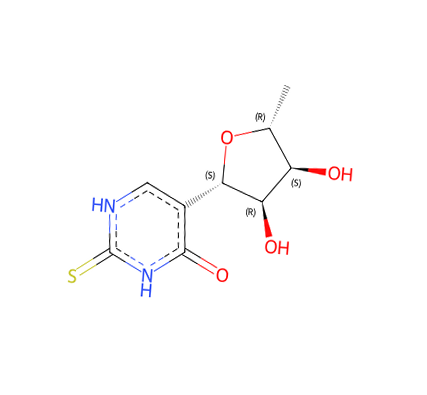 C[C@H]1O[C@@H](c2c[nH]c(=S)[nH]c2=O)[C@H](O)[C@@H]1O